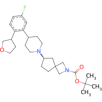 CC(C)(C)OC(=O)N1CC2(CC[C@@H](N3CCC(c4cc(F)ccc4C4CCOC4)CC3)C2)C1